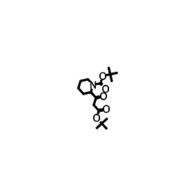 CC(C)(C)OC(=O)CC(=O)C1CCCCN1C(=O)OC(C)(C)C